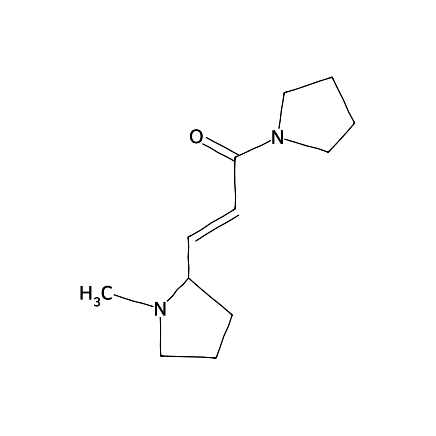 CN1CCCC1/C=C/C(=O)N1CCCC1